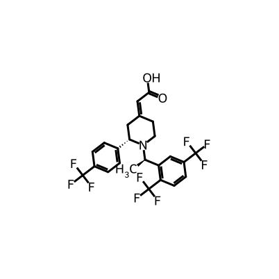 C[C@H](c1cc(C(F)(F)F)ccc1C(F)(F)F)N1CC/C(=C\C(=O)O)C[C@H]1c1ccc(C(F)(F)F)cc1